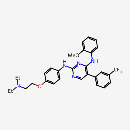 CCN(CC)CCOc1ccc(Nc2ncc(-c3cccc(C(F)(F)F)c3)c(Nc3ccccc3OC)n2)cc1